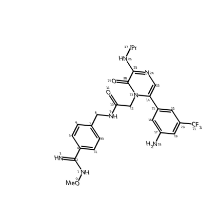 CONC(=N)c1ccc(CNC(=O)Cn2c(-c3cc(N)cc(C(F)(F)F)c3)cnc(NC(C)C)c2=O)cc1